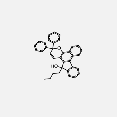 CCCCC1(O)c2ccccc2-c2c1c1c(c3ccccc23)OC(c2ccccc2)(c2ccccc2)C=C1